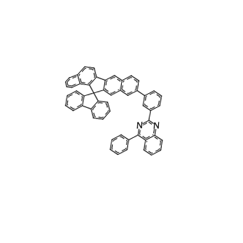 c1ccc(-c2nc(-c3cccc(-c4ccc5cc6c(cc5c4)C4(c5ccccc5-c5ccccc54)c4c-6ccc5ccccc45)c3)nc3ccccc23)cc1